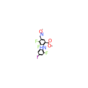 CON=Cc1cc(C(=O)OC)c(Nc2ccc(I)cc2F)c(F)c1F